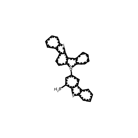 Bc1cc(-n2c3ccccc3c3c4sc5ccccc5c4ccc32)cc2c1sc1ccccc12